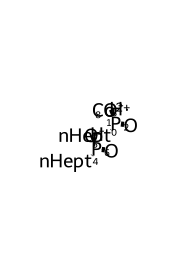 CCCCCCC[PH](=O)[O-].CCCCCCC[PH](=O)[O-].[Co+2]